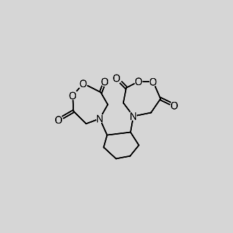 O=C1CN(C2CCCCC2N2CC(=O)OOC(=O)C2)CC(=O)OO1